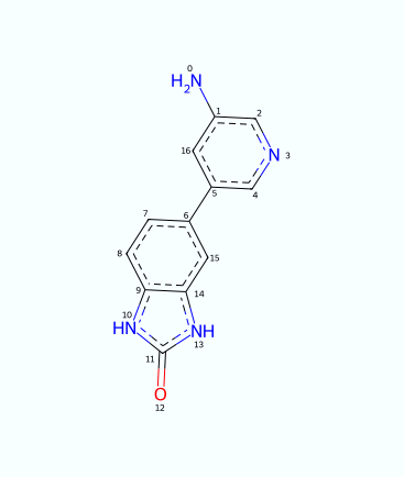 Nc1cncc(-c2ccc3[nH]c(=O)[nH]c3c2)c1